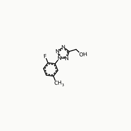 Cc1ccc(F)c(-n2nnc(CO)n2)c1